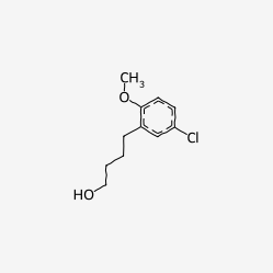 COc1ccc(Cl)cc1CCCCO